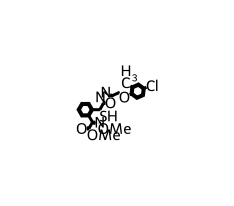 CON=C(C(=O)OC)c1ccccc1C(S)c1nnc(COc2ccc(Cl)cc2C)o1